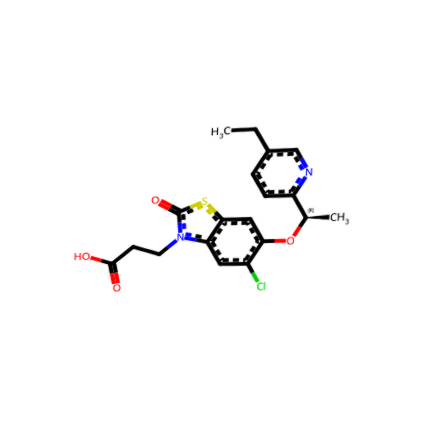 CCc1ccc([C@@H](C)Oc2cc3sc(=O)n(CCC(=O)O)c3cc2Cl)nc1